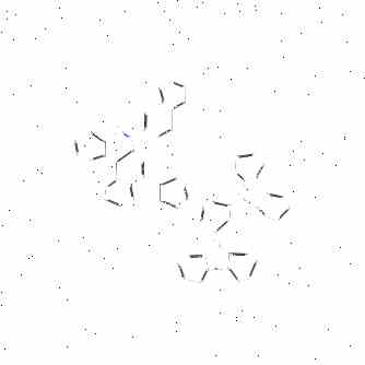 c1ccc2cc(-c3nc4ccccc4c4c3cc(-c3ccc(-c5cc(-n6c7ccccc7c7ccccc76)cc(-n6c7ccccc7c7ccccc76)c5)cc3)c3ccccc34)ccc2c1